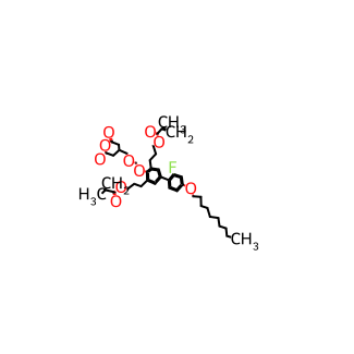 C=C(C)C(=O)OCCCc1cc(-c2ccc(OCCCCCCCCCC)cc2F)cc(CCCOC(=O)C(=C)C)c1OCOCC1CC(=O)OC(=O)C1